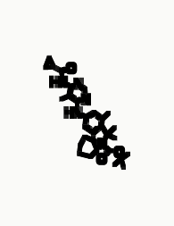 Cc1cc(Nc2ncnc(NC(=O)C3CC3)c2C)cc2c1C(C)(C)N(C(=O)OC(C)(C)C)C21CCCCC1